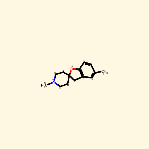 Cc1ccc2c(c1)CC1(CCN(C)CC1)O2